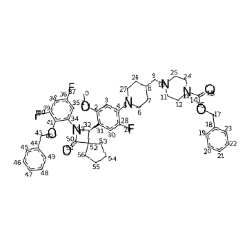 COc1cc(N2CCC(CN3CCN(C(=O)OCc4ccccc4)CC3)CC2)c(F)cc1[C@@H]1N(c2cc(F)cc(F)c2OCc2ccccc2)C(=O)C12CCCC2